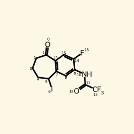 O=C1CCCC(I)c2cc(NC(=O)C(F)(F)F)c(F)cc21